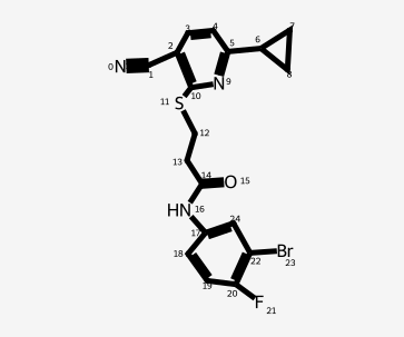 N#Cc1ccc(C2CC2)nc1SCCC(=O)Nc1ccc(F)c(Br)c1